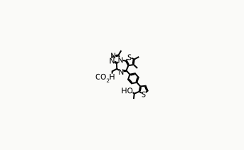 Cc1sc2c(c1C)C(c1ccc(-c3ccsc3C(C)O)cc1)=NC(CC(=O)O)c1nnc(C)n1-2